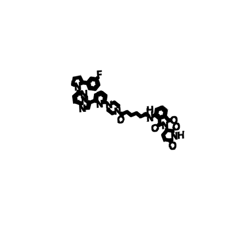 O=C1CCC(N2C(=O)c3cccc(NCCCCCC(=O)N4CCN(c5cccc(-c6cnc7ccc(N8CCCC8c8cccc(F)c8)nn67)n5)CC4)c3C2=O)C(=O)N1